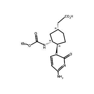 CC(C)(C)OC(=O)N[C@@H]1C[C@H](CC(=O)O)CC[C@H]1n1ccc(N)nc1=O